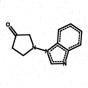 O=C1CCN(n2cnc3ccccc32)C1